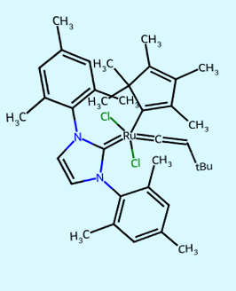 CC1=C(C)C(C)(C)[C]([Ru]([Cl])([Cl])(=[C]=CC(C)(C)C)=[c]2n(-c3c(C)cc(C)cc3C)ccn2-c2c(C)cc(C)cc2C)=C1C